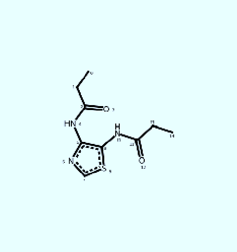 CCC(=O)Nc1n[c]sc1NC(=O)CC